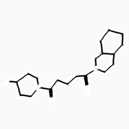 CC1CCN(C(=O)CCCC(=O)N2CCC3CCCCC3C2)CC1